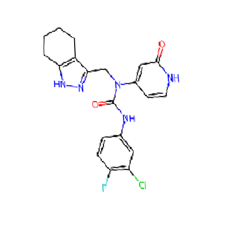 O=C(Nc1ccc(F)c(Cl)c1)N(Cc1n[nH]c2c1CCCC2)c1cc[nH]c(=O)c1